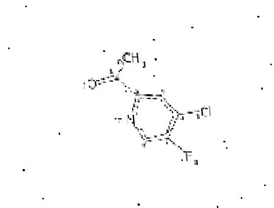 CC(=O)c1cc(Cl)c(F)cn1